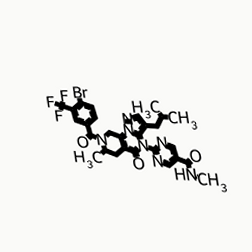 CNC(=O)c1cnc(-n2c(=O)c3c(n4ncc(CC(C)C)c24)CN(C(=O)c2ccc(Br)c(C(F)(F)F)c2)C(C)C3)nc1